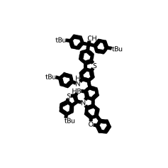 CC(C)(C)c1ccc(Nc2cc3c(cc2-c2ccc4c5cc6c(cc5n5c4c2Bc2sc4ccc(C(C)(C)C)cc4c2-5)oc2ccccc26)sc2cc(C(C)(c4ccc(C(C)(C)C)cc4)c4ccc(C(C)(C)C)cc4)ccc23)cc1